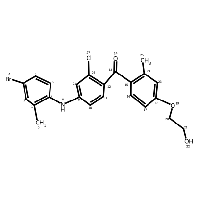 Cc1cc(Br)ccc1Nc1ccc(C(=O)c2ccc(OCCO)cc2C)c(Cl)c1